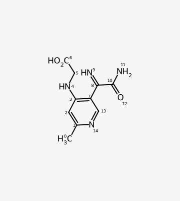 Cc1cc(NCC(=O)O)c(C(=N)C(N)=O)cn1